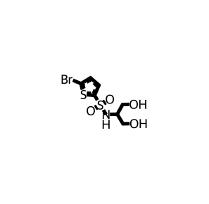 O=S(=O)(NC(CO)CO)c1ccc(Br)s1